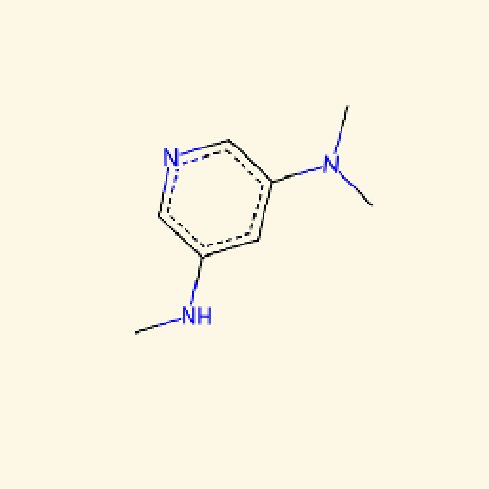 CNc1cncc(N(C)C)c1